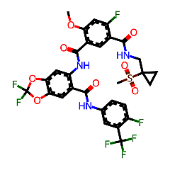 COc1cc(F)c(C(=O)NCC2(S(C)(=O)=O)CC2)cc1C(=O)Nc1cc2c(cc1C(=O)Nc1ccc(F)c(C(F)(F)F)c1)OC(F)(F)O2